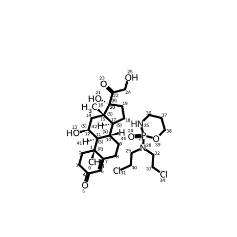 C[C@]12CCC(=O)C=C1CC[C@@H]1[C@@H]2[C@@H](O)C[C@@]2(C)[C@H]1CC[C@]2(O)C(=O)CO.O=P1(N(CCCl)CCCl)NCCCO1